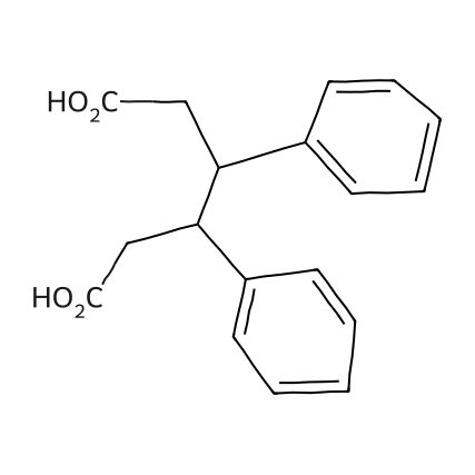 O=C(O)CC(c1ccccc1)C(CC(=O)O)c1ccccc1